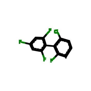 Fc1cc(F)c(-c2c(F)[c]ccc2Cl)c(F)c1